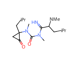 CNC(CC(C)C)C(=N)N(C)C(=O)N(C)C1(CC(C)C)CC1=O